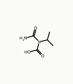 CC(C)N(C(N)=O)C(=O)O